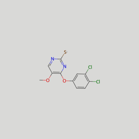 COc1cnc([S])nc1Oc1ccc(Cl)c(Cl)c1